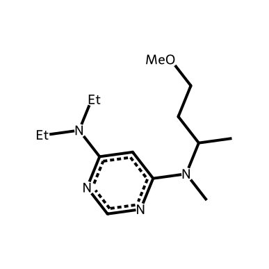 CCN(CC)c1cc(N(C)C(C)CCOC)ncn1